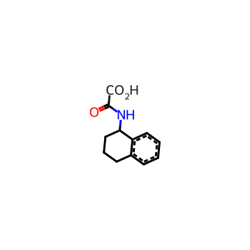 O=C(O)C(=O)NC1CCCc2ccccc21